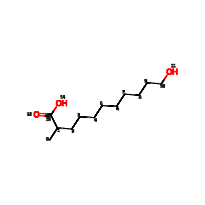 CC(CCCCCCCCCO)C(=O)O